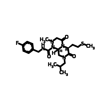 CSCC[C@H]1C(=O)N(CC(C)C)C[C@H]2N1C(=O)CN(C)N2C(=O)NCc1ccc(F)cc1